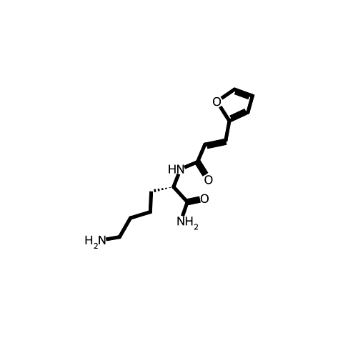 NCCCC[C@H](NC(=O)C=Cc1ccco1)C(N)=O